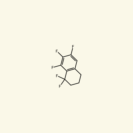 Fc1cc2c(c(F)c1F)C(F)(F)CCC2